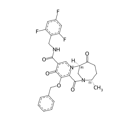 C[C@H]1CCC(=O)[C@H]2CN1C(=O)c1c(OCc3ccccc3)c(=O)c(C(=O)NCc3c(F)cc(F)cc3F)cn12